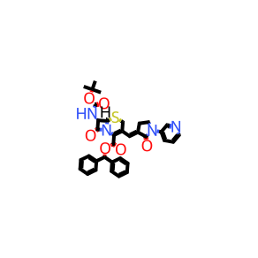 CC(C)(C)OC(=O)N[C@@H]1C(=O)N2C(C(=O)OC(c3ccccc3)c3ccccc3)=C(C=C3CCN(c4cccnc4)C3=O)CS[C@H]12